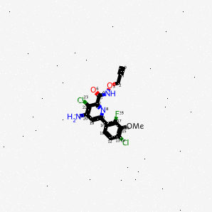 C#CCONC(=O)c1nc(-c2ccc(Cl)c(OC)c2F)cc(N)c1Cl